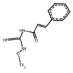 N=C(NOC(F)(F)F)NC(=O)C=Cc1ccccc1